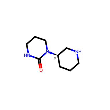 O=C1NCCCN1[C@@H]1CCCNC1